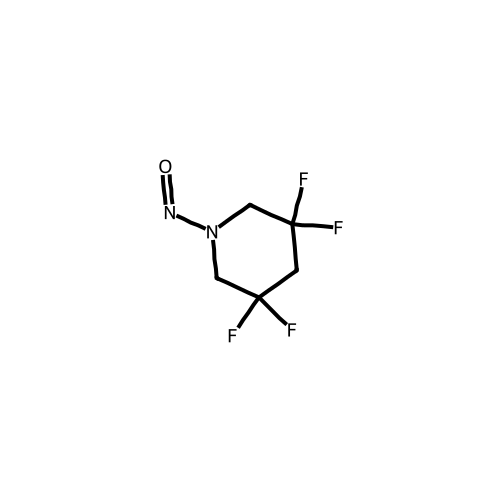 O=NN1CC(F)(F)CC(F)(F)C1